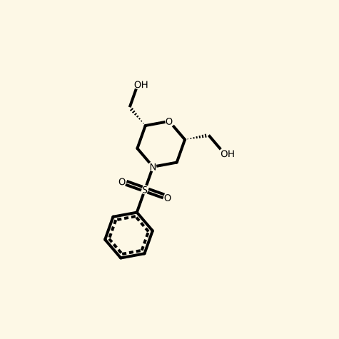 O=S(=O)(c1ccccc1)N1C[C@@H](CO)O[C@@H](CO)C1